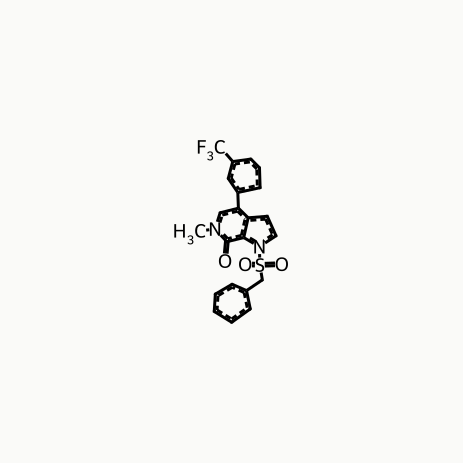 Cn1cc(-c2cccc(C(F)(F)F)c2)c2ccn(S(=O)(=O)Cc3ccccc3)c2c1=O